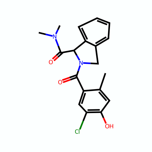 Cc1cc(O)c(Cl)cc1C(=O)N1Cc2ccccc2C1C(=O)N(C)C